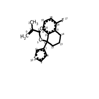 C=C(C)C(=O)OC1(c2ccsc2)CCCc2c(F)cccc21